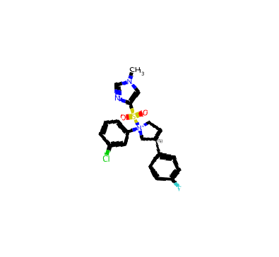 Cn1cnc(S(=O)(=O)[N+]2(c3cccc(Cl)c3)CC[C@@H](c3ccc(F)cc3)C2)c1